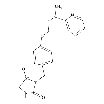 CN(CCOc1ccc(CC2C(=O)NC[S+]2[O-])cc1)c1ccccn1